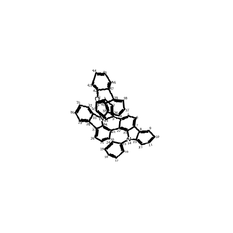 c1ccc(-c2ccc3c4ccccc4n(-c4ccccc4)c3c2-c2cccc3c4ccccc4n(-c4cccc5c4oc4ccccc45)c23)cc1